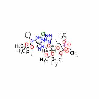 CCOC(=O)C(CCCc1nn[nH]n1)(OC[C@H]1O[C@@H](n2ncc3c(N(C(=O)OC(C)(C)C)C4CCCC4)nc(Cl)nc32)[C@@H]2OC(C)(C)O[C@@H]21)P(=O)(OCC)OCC